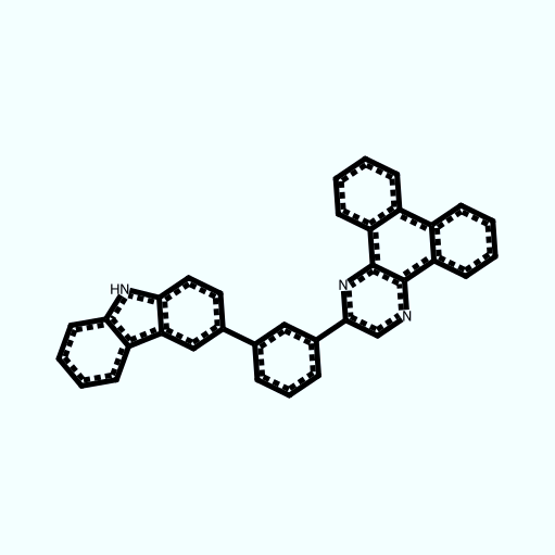 c1cc(-c2ccc3[nH]c4ccccc4c3c2)cc(-c2cnc3c4ccccc4c4ccccc4c3n2)c1